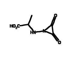 CC(Nn1c(=O)c1=O)C(=O)O